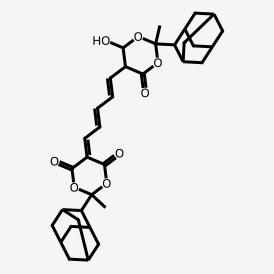 CC1(C2C3CC4CC(C3)CC2C4)OC(=O)C(=CC=CC=CC2C(=O)OC(C)(C3C4CC5CC(C4)CC3C5)OC2O)C(=O)O1